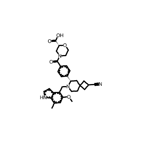 COc1cc(C)c2[nH]ccc2c1CN1CCC2(CC(C#N)C2)C[C@H]1c1ccc(C(=O)N2CCO[C@@H](C(=O)O)C2)cc1